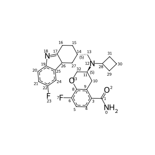 NC(=O)c1ccc(F)c2c1C[C@H](N(C[C@H]1CCC3=Nc4ccc(F)cc4C3C1)C1CCC1)CO2